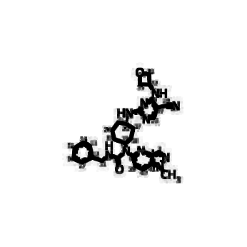 Cn1ncc2nc(N(C(=O)NCc3ccccc3)[C@H]3CCC[C@H](Nc4ncc(C#N)c(NC5COC5)n4)CC3)ccc21